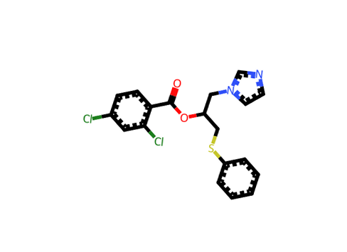 O=C(OC(CSc1ccccc1)Cn1ccnc1)c1ccc(Cl)cc1Cl